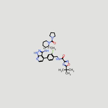 C[C@@H]1[C@H](Nc2n[nH]c3nccc(-c4ccc(CNC(=O)c5noc(C(C)(C)C)n5)c(F)c4)c23)CCCN1C(=O)N1CCCC1